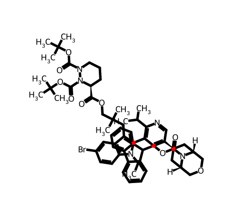 CCn1c(-c2cc([C@@H]3C[C@H]4COC[C@@H](C3)N4C(=O)OCC3c4ccccc4-c4ccccc43)cnc2C(C)C)c(CC(C)(C)COC(=O)[C@@H]2CCCN(C(=O)OC(C)(C)C)N2C(=O)OC(C)(C)C)c2cc(Br)ccc21